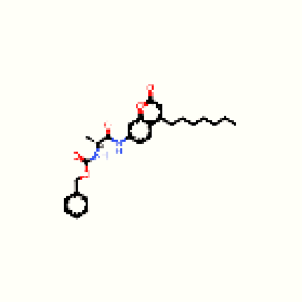 CCCCCCCc1cc(=O)oc2cc(NC(=O)[C@H](C)NC(=O)OCc3ccccc3)ccc12